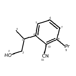 C[C](CO)c1cccc(C(C)C)c1C#N